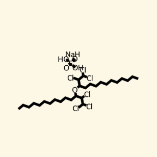 CCCCCCCCCCCC(OC(CCCCCCCCCCC)C(Cl)C(Cl)Cl)C(Cl)C(Cl)Cl.O=S(=O)(O)O.[NaH]